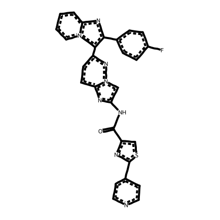 O=C(Nc1cn2nc(-c3c(-c4ccc(F)cc4)nc4ccccn34)ccc2n1)c1csc(-c2ccncc2)n1